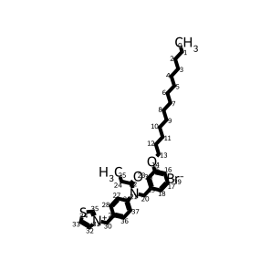 CCCCCCCCCCCCCCOc1cccc(CN(C(=O)CC)c2ccc(C[n+]3ccsc3)cc2)c1.[Br-]